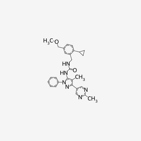 COCc1ccc(C2CC2)c(CNC(=O)Nc2c(C)c(-c3cnc(C)nc3)nn2-c2ccccc2)c1